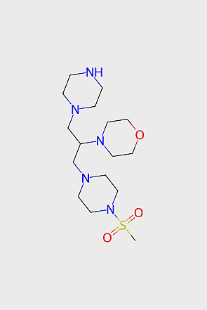 CS(=O)(=O)N1CCN(CC(CN2CCNCC2)N2CCOCC2)CC1